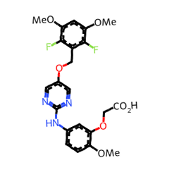 COc1ccc(Nc2ncc(OCc3c(F)c(OC)cc(OC)c3F)cn2)cc1OCC(=O)O